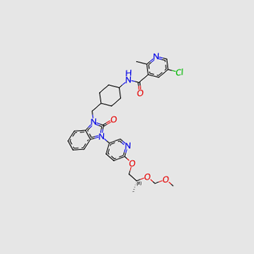 COCO[C@H](C)COc1ccc(-n2c(=O)n(CC3CCC(NC(=O)c4cc(Cl)cnc4C)CC3)c3ccccc32)cn1